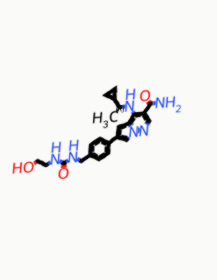 C[C@@H](Nc1c(C(N)=O)cnn2cc(-c3ccc(CNC(=O)NCCO)cc3)cc12)C1CC1